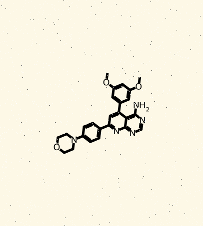 COc1cc(OC)cc(-c2cc(-c3ccc(N4CCOCC4)cc3)nc3ncnc(N)c23)c1